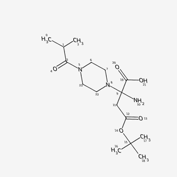 CC(C)C(=O)N1CCN(C(N)(CC(=O)OC(C)(C)C)C(=O)O)CC1